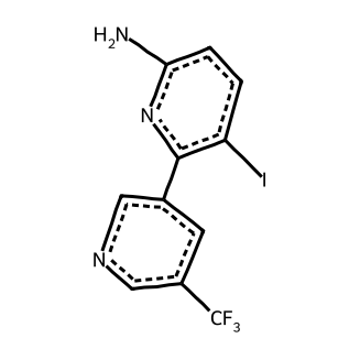 Nc1ccc(I)c(-c2cncc(C(F)(F)F)c2)n1